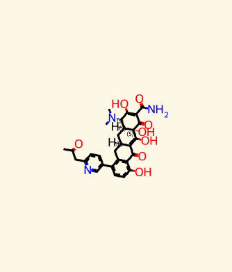 CC(=O)Cc1ccc(-c2ccc(O)c3c2C[C@H]2C[C@H]4[C@H](N(C)C)C(O)=C(C(N)=O)C(=O)[C@@]4(O)C(O)=C2C3=O)cn1